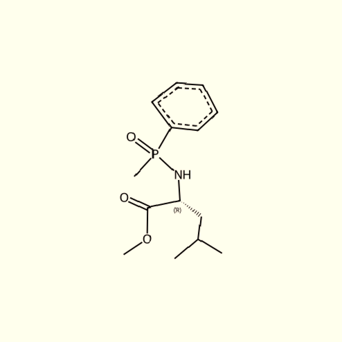 COC(=O)[C@@H](CC(C)C)NP(C)(=O)c1ccccc1